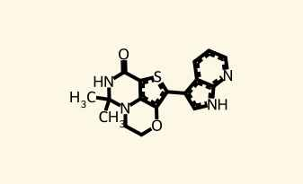 CC1(C)NC(=O)c2sc(-c3c[nH]c4ncccc34)c3c2N1CCO3